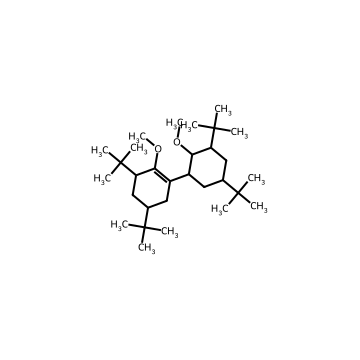 COC1=C(C2CC(C(C)(C)C)CC(C(C)(C)C)C2OC)CC(C(C)(C)C)CC1C(C)(C)C